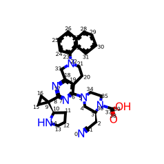 N#CC[C@H]1CN(c2nc(C3([C@H]4CCCN4)CC3)nc3c2CCN(c2cccc4ccccc24)C3)CCN1C(=O)O